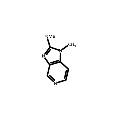 CNc1nc2cnccc2n1C